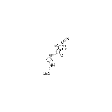 CCn1c(=C(C#N)C(=O)NCC#N)sc(=CNc2cccc(NCCOC)n2)c1=O